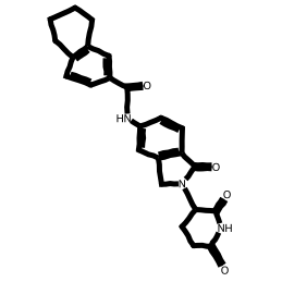 O=C1CCC(N2Cc3cc(NC(=O)c4ccc5c(c4)CCCC5)ccc3C2=O)C(=O)N1